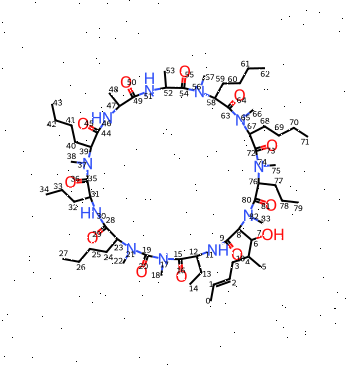 CC=CCC(C)C(O)C1C(=O)NC(CC)C(=O)N(C)C(=O)N(C)C(CCCC)C(=O)NC(CCC)C(=O)N(C)C(CCCC)C(=O)NC(C)C(=O)NC(C)C(=O)N(C)C(CCCC)C(=O)N(C)C(CCCC)C(=O)N(C)C(CCC)C(=O)N1C